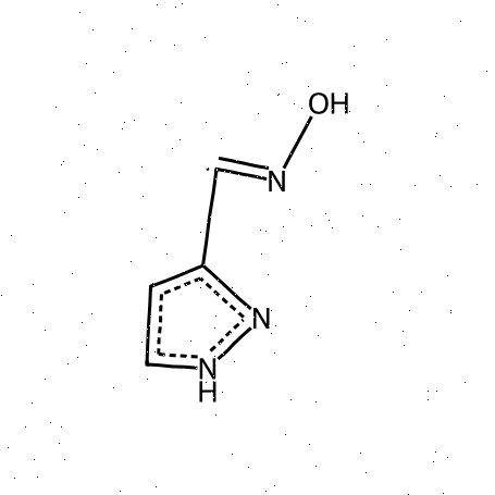 ON=[C]c1cc[nH]n1